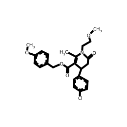 COCCN1C(=O)CC(c2ccc(Cl)cc2)C(C(=O)OCc2ccc(OC)cc2)=C1C